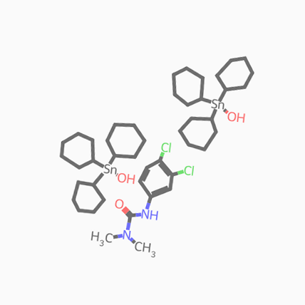 CN(C)C(=O)Nc1ccc(Cl)c(Cl)c1.[OH][Sn]([CH]1CCCCC1)([CH]1CCCCC1)[CH]1CCCCC1.[OH][Sn]([CH]1CCCCC1)([CH]1CCCCC1)[CH]1CCCCC1